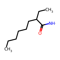 CCCCCCC(CC)C([NH])=O